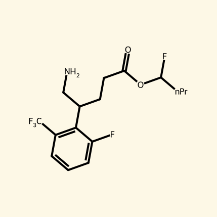 CCCC(F)OC(=O)CCC(CN)c1c(F)cccc1C(F)(F)F